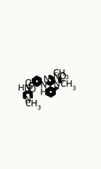 C[C@@H]1C(=O)N(C)c2cnc(Nc3cccc(S(=O)(=O)NC4CCN(C)CC4)c3)cc2N1Cc1ccccc1